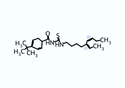 C/C=C(\C=C/CC)CCCCNC(=S)NC(=O)C1C=CC(C(C)(C)C)=CC1